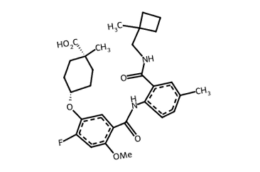 COc1cc(F)c(O[C@H]2CC[C@@](C)(C(=O)O)CC2)cc1C(=O)Nc1ccc(C)cc1C(=O)NCC1(C)CCC1